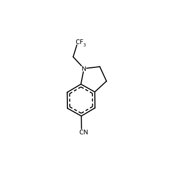 N#Cc1ccc2c(c1)CCN2CC(F)(F)F